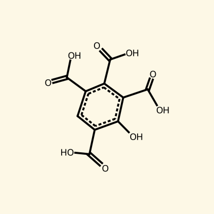 O=C(O)c1cc(C(=O)O)c(C(=O)O)c(C(=O)O)c1O